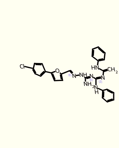 C=C(/N=C(\N=C(/N)N/N=C/c1ccc(-c2ccc(Cl)cc2)o1)Nc1ccccc1)Nc1ccccc1